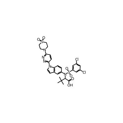 CC(C)(C)C(C(=O)O)N(c1ccc2c(ccn2-c2ccc(N3CCS(=O)(=O)CC3)nn2)c1)S(=O)(=O)c1cc(Cl)cc(Cl)c1